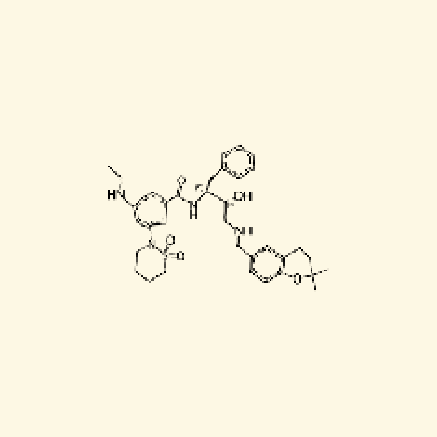 CCNc1cc(C(=O)N[C@@H](Cc2ccccc2)[C@H](O)CNCc2ccc3c(c2)CCC(C)(C)O3)cc(N2CCCCS2(=O)=O)c1